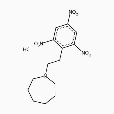 Cl.O=[N+]([O-])c1cc([N+](=O)[O-])c(CCN2CCCCCC2)c([N+](=O)[O-])c1